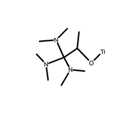 CC([O][Ti])C(N(C)C)(N(C)C)N(C)C